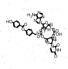 Nc1ncnc2c1ncn2[C@@H]1O[C@@H]2COP(=O)(O)O[C@H]3[C@@H](F)[C@H](n4ccc(=O)[nH]c4=O)O[C@@H]3CO[P@@](=O)(SCc3ccc(OC(=O)c4ccc(O)cc4)cc3)O[C@@H]1[C@@H]2F